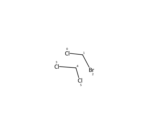 ClCBr.ClCCl